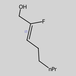 CCCCC/C=C(\F)CO